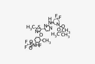 Cc1nc(Oc2ccc(NS(=O)(=O)C(F)F)c(F)c2C)c(-c2ccnc(N[C@@H]3CN(C(=O)OC(C)(C)C)CC(F)(F)C3)n2)s1